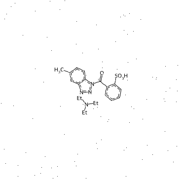 CCN(CC)CC.Cc1ccc2c(c1)nnn2C(=O)c1ccccc1S(=O)(=O)O